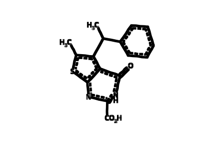 Cc1sc2nc(C(=O)O)[nH]c(=O)c2c1C(C)c1ccccc1